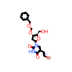 O=c1[nH]c(=O)n([C@H]2C[C@H](OCOCc3ccccc3)[C@@H](CO)O2)cc1/C=C/Br